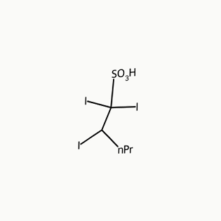 CCCC(I)C(I)(I)S(=O)(=O)O